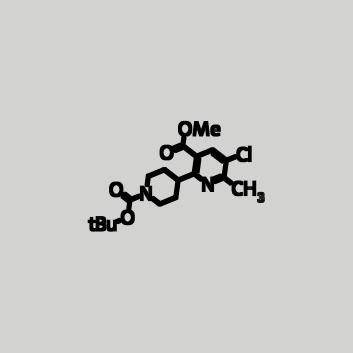 COC(=O)c1cc(Cl)c(C)nc1C1CCN(C(=O)OC(C)(C)C)CC1